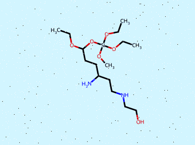 CCOC(CCC(N)CCNCCO)O[Si](OC)(OCC)OCC